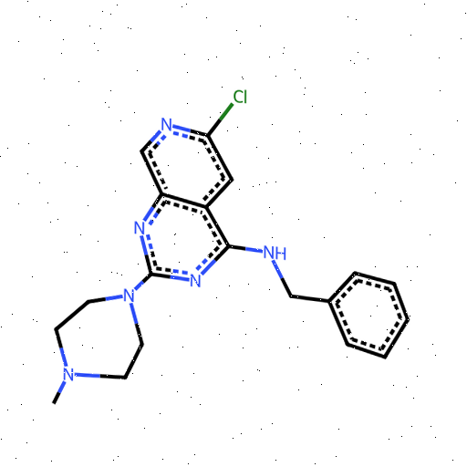 CN1CCN(c2nc(NCc3ccccc3)c3cc(Cl)ncc3n2)CC1